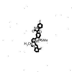 CNC(=O)c1c(-c2ccc(F)cc2)oc2cc(N(C)SC)c(-c3ccc4c(n3)-c3cc5c(F)cccc5n3CN4C)cc12